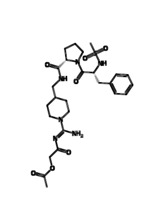 CC(=O)OCC(=O)/N=C(\N)N1CCC(CNC(=O)[C@@H]2CCCN2C(=O)[C@@H](Cc2ccccc2)NS(C)(=O)=O)CC1